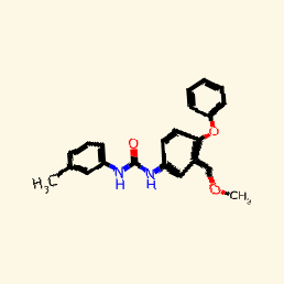 COCc1cc(NC(=O)Nc2cccc(C)c2)ccc1Oc1ccccc1